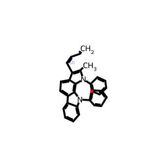 C=C/C=C\c1c(C)n(-c2ccccc2)c2c1ccc1c3ccccc3n(-c3ccccc3)c12